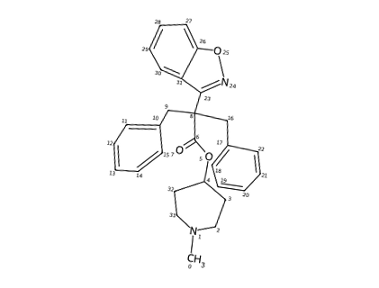 CN1CCC(OC(=O)C(Cc2ccccc2)(Cc2ccccc2)c2noc3ccccc23)CC1